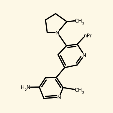 CCCc1ncc(-c2cc(N)cnc2C)cc1N1CCCC1C